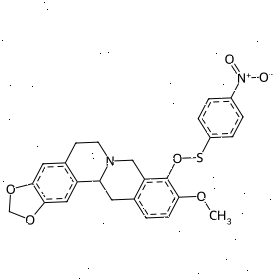 COc1ccc2c(c1OSc1ccc([N+](=O)[O-])cc1)CN1CCc3cc4c(cc3C1C2)OCO4